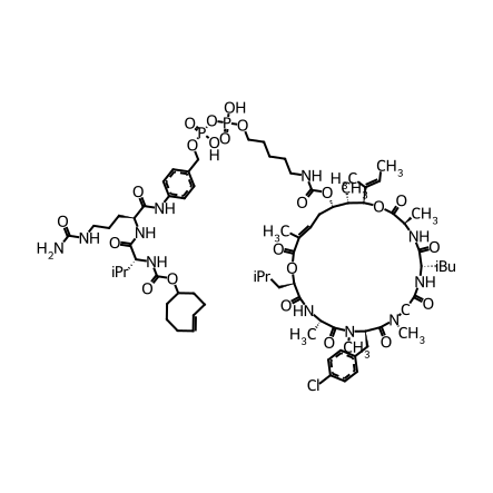 C/C=C(\C)[C@H]1OC(=O)[C@@H](C)NC(=O)[C@H](C(C)CC)NC(=O)CN(C)C(=O)[C@@H](Cc2ccc(Cl)cc2)N(C)C(=O)[C@H](C)NC(=O)[C@@H](CC(C)C)OC(=O)/C(C)=C/C[C@H](OC(=O)NCCCCCOP(=O)(O)OP(=O)(O)OCc2ccc(NC(=O)[C@H](CCCNC(N)=O)NC(=O)[C@H](NC(=O)OC3CC/C=C/CCC3)C(C)C)cc2)[C@@H]1C